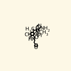 Cc1nc(C(C)c2cc(Cl)c(F)c(C(=O)NCCC3CCOC3)c2OC(C)C)n2ccnc(N)c12